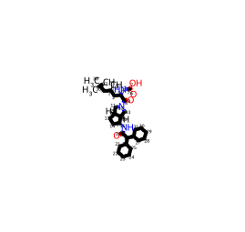 C[C@H](CC(NC(=O)O)C(=O)N1C[C@@H]2CC[C@@H](NC(=O)C(C3CCCCC3)C3CCCCC3)[C@@H]2C1)CC(C)(C)C